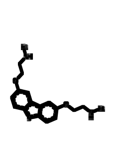 CCNCCOc1ccc2sc3ccc(OCCNCC)cc3c2c1